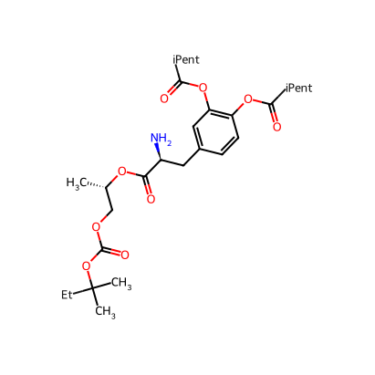 CCCC(C)C(=O)Oc1ccc(C[C@H](N)C(=O)O[C@@H](C)COC(=O)OC(C)(C)CC)cc1OC(=O)C(C)CCC